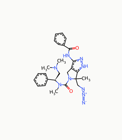 CN(C)C[C@H](c1ccccc1)N(C)C(=O)N1Cc2c(NC(=O)c3ccccc3)n[nH]c2C1(C)CN=[N+]=[N-]